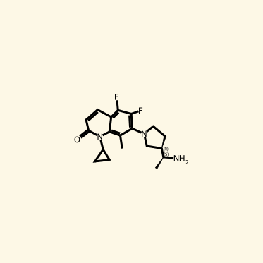 Cc1c(N2CC[C@@H]([C@H](C)N)C2)c(F)c(F)c2ccc(=O)n(C3CC3)c12